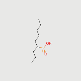 CCCCCC(CCC)[PH](=O)O